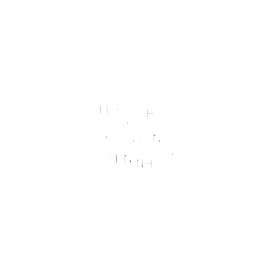 N.N.O=[N+]([O-])OP(=O)(O)O